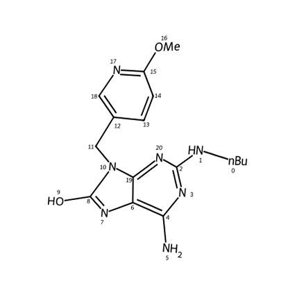 CCCCNc1nc(N)c2nc(O)n(Cc3ccc(OC)nc3)c2n1